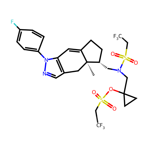 C[C@]12Cc3cnn(-c4ccc(F)cc4)c3C=C1CC[C@@H]2CN(CC1(OS(=O)(=O)CC(F)(F)F)CC1)S(=O)(=O)CC(F)(F)F